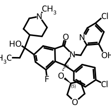 CCC(O)(c1cc(F)c2c(c1)C(=O)N(Cc1ncc(Cl)cc1O)[C@@]2(O[C@H]1CCOC1)c1ccc(Cl)cc1)C1CCN(C)CC1